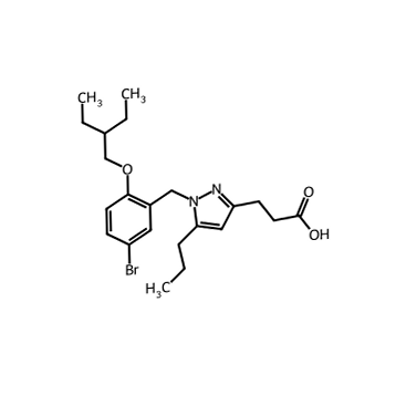 CCCc1cc(CCC(=O)O)nn1Cc1cc(Br)ccc1OCC(CC)CC